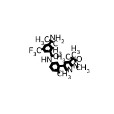 Cc1ccc(NC(=O)c2cc(C(C)(C)N)cc(C(F)(F)F)c2)cc1-c1cnc2c(c1)C(C)(C)C(=O)N2C